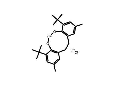 Cc1cc2c(c(C(C)(C)C)c1)[O][Ti+2][O]c1c(cc(C)cc1C(C)(C)C)CC2.[Cl-].[Cl-]